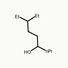 CCCC(O)CCC(CC)CC